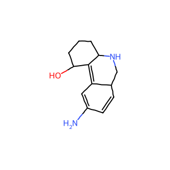 NC1=CC2=C3C(O)CCCC3NCC2C=C1